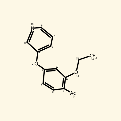 CC(=O)c1ccc(Oc2cccnc2)cc1OCC(F)(F)F